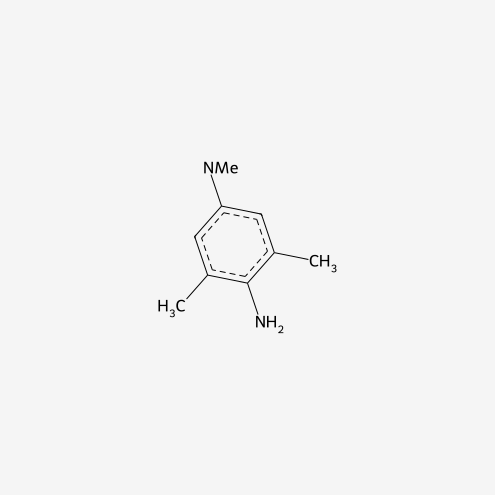 CNc1cc(C)c(N)c(C)c1